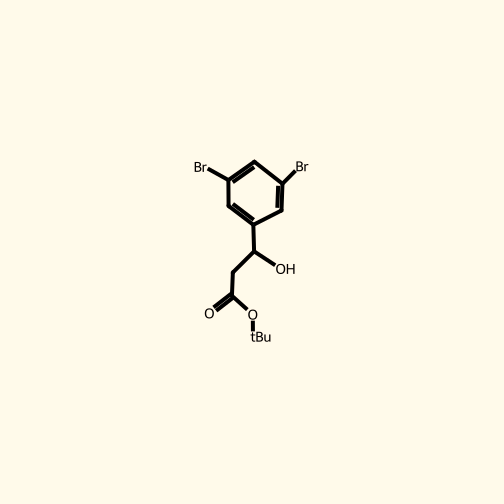 CC(C)(C)OC(=O)CC(O)c1cc(Br)cc(Br)c1